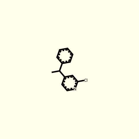 CC(c1ccccc1)c1ccnc(Cl)c1